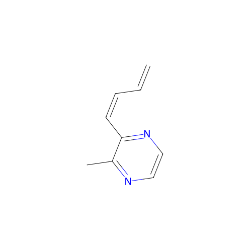 C=C/C=C\c1nccnc1C